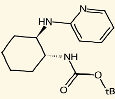 CC(C)(C)OC(=O)N[C@@H]1CCCC[C@H]1Nc1ccccn1